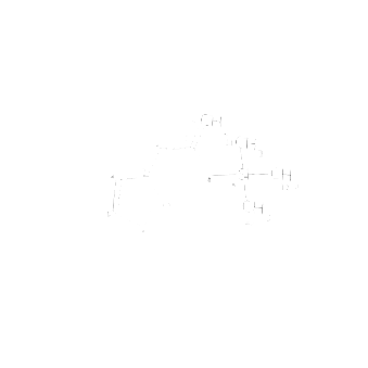 C=C(CC1C=CC=C1)C[Si](C)(C)C